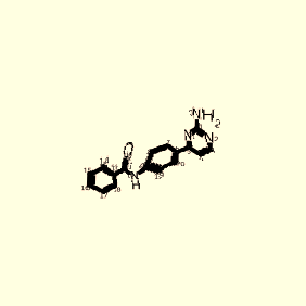 Nc1nccc(-c2ccc(NC(=O)c3ccccc3)cc2)n1